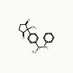 C[C@H]([SiH2]c1ccccc1)c1ccc(C2(C)C(=O)CCC2=O)cc1